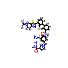 CNC(=O)[C@@H]1CCN(Cc2cc(C#N)c3oc(-c4cccc(-c5cccc(-c6nc7c(s6)CN(C(C)C)CC7)c5C)c4C)nc3c2)C1